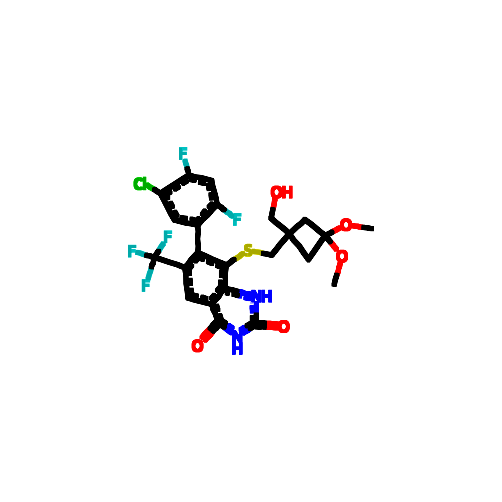 COC1(OC)CC(CO)(CSc2c(-c3cc(Cl)c(F)cc3F)c(C(F)(F)F)cc3c(=O)[nH]c(=O)[nH]c23)C1